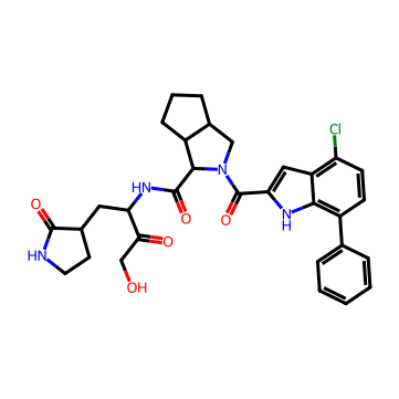 O=C1NCCC1CC(NC(=O)C1C2CCCC2CN1C(=O)c1cc2c(Cl)ccc(-c3ccccc3)c2[nH]1)C(=O)CO